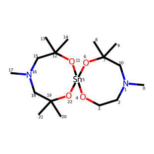 CN1CC[O][Sn]2([O]C(C)(C)C1)[O]C(C)(C)CN(C)CC(C)(C)[O]2